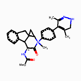 COC(=O)N[C@@H]1C(=O)[N+](C)(c2ccc(C3=C(C)CNN=C3C)cc2)C2CC23Cc2ccccc2C13